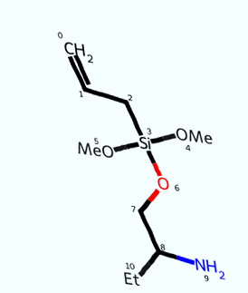 C=CC[Si](OC)(OC)OCC(N)CC